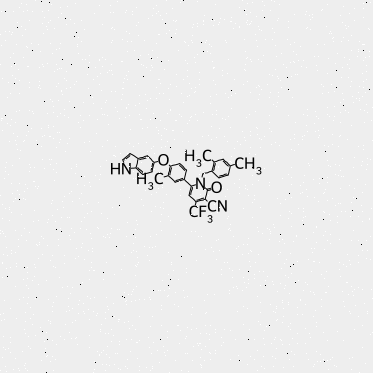 Cc1ccc(Cn2c(-c3ccc(Oc4ccc5[nH]ccc5c4)c(C)c3)cc(C(F)(F)F)c(C#N)c2=O)c(C)c1